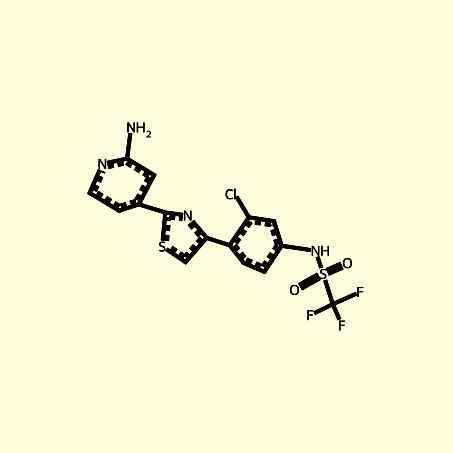 Nc1cc(-c2nc(-c3ccc(NS(=O)(=O)C(F)(F)F)cc3Cl)cs2)ccn1